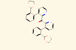 O=C(c1ncccc1-c1ccccc1C1OCCO1)c1ncccc1-c1ccccc1C1OCCO1